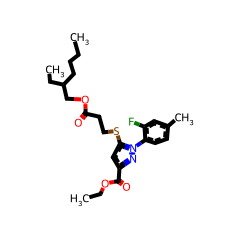 CCCCC(CC)COC(=O)CCSc1cc(C(=O)OCC)nn1-c1ccc(C)cc1F